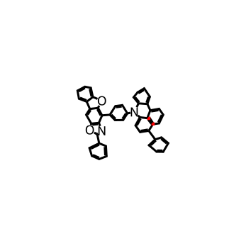 c1ccc(-c2ccc(N(c3ccc(-c4c5nc(-c6ccccc6)oc5cc5c4oc4ccccc45)cc3)c3ccccc3-c3ccccc3)cc2)cc1